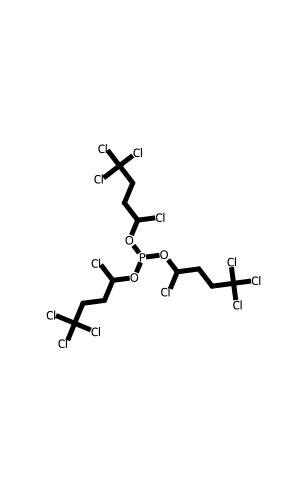 ClC(CCC(Cl)(Cl)Cl)OP(OC(Cl)CCC(Cl)(Cl)Cl)OC(Cl)CCC(Cl)(Cl)Cl